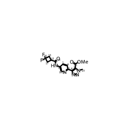 COC(=O)c1c(-c2ccc(NC(=O)C3CC(F)(F)C3)cn2)nnn1C